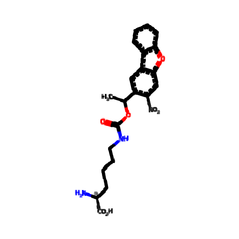 CC(OC(=O)NCCCC[C@H](N)C(=O)O)c1cc2c(cc1[N+](=O)[O-])oc1ccccc12